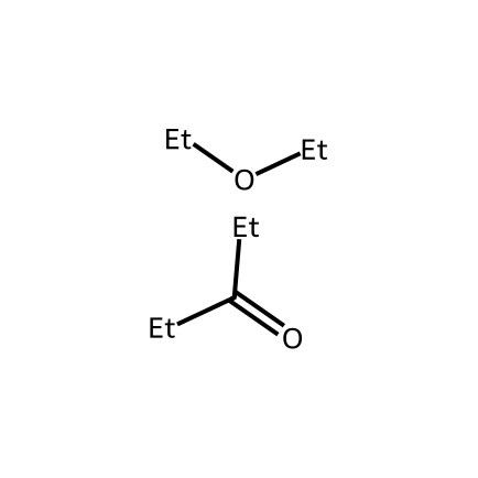 CCC(=O)CC.CCOCC